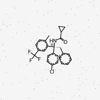 Cc1ccc(C(F)(F)F)cc1[C@@](Cc1ccccc1)(NC(=O)C1CC1)c1ccc(Cl)cn1